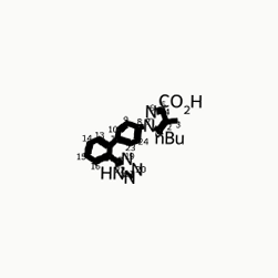 CCCCc1c(C)c(C(=O)O)nn1-c1ccc(-c2ccccc2-c2nnn[nH]2)cc1